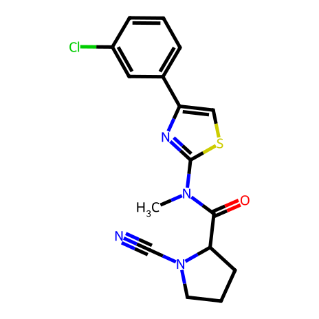 CN(C(=O)C1CCCN1C#N)c1nc(-c2cccc(Cl)c2)cs1